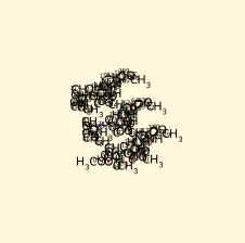 CCOC(=O)Oc1c(OC)cc(C(=O)O[C@@H]2C[C@@H]3CN4CCc5c([nH]c6cc(OC)ccc56)[C@H]4C[C@@H]3[C@H](C(=O)OC)[C@H]2OC)cc1OC.COC(=O)[C@H]1[C@H]2C[C@@H]3c4[nH]c5cc(OC)ccc5c4CCN3C[C@H]2C[C@@H](OC(=O)/C=C/c2cc(OC)c(OC)c(OC)c2)[C@@H]1OC.COC(=O)[C@H]1[C@H]2C[C@@H]3c4[nH]c5cc(OC)ccc5c4CCN3C[C@H]2C[C@@H](OC(=O)c2cc(OC)c(OC)c(OC)c2)[C@@H]1OC